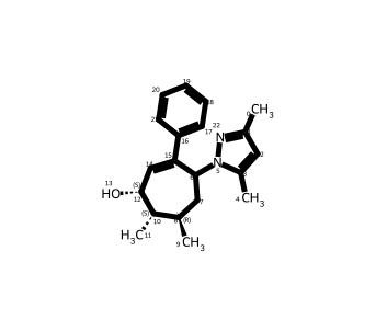 Cc1cc(C)n(C2C[C@@H](C)[C@H](C)[C@H](O)C=C2c2ccccc2)n1